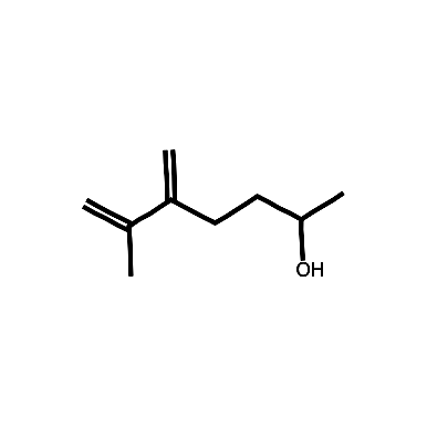 C=C(C)C(=C)CCC(C)O